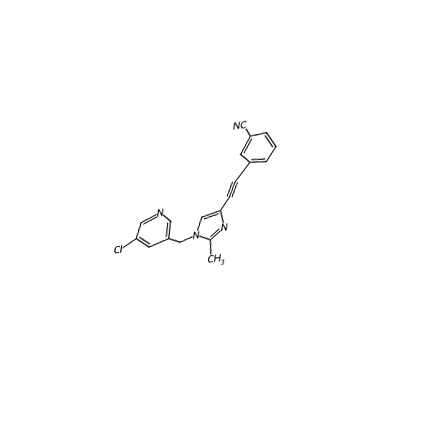 Cc1nc(C#Cc2cccc(C#N)c2)cn1Cc1cncc(Cl)c1